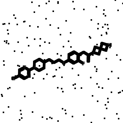 O=C(Cc1ccc(OCCCC2CCN(c3ncc(Cl)cn3)CC2)cc1F)N1CC2(CNC2)C1